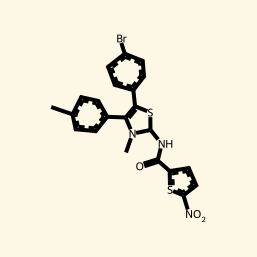 Cc1ccc(C2=C(c3ccc(Br)cc3)SC(NC(=O)c3ccc([N+](=O)[O-])s3)N2C)cc1